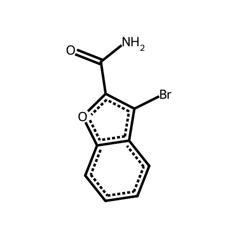 NC(=O)c1oc2ccccc2c1Br